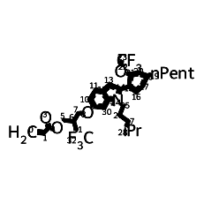 C=CC(=O)OCC(COc1ccc2cc(-c3ccc(CCCCC)cc3OC(F)(F)F)n(CCCC(C)C)c2c1)CC(F)(F)F